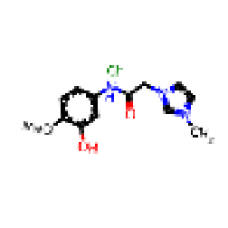 COc1ccc(NC(=O)C[n+]2ccn(C)c2)cc1O.[Cl-]